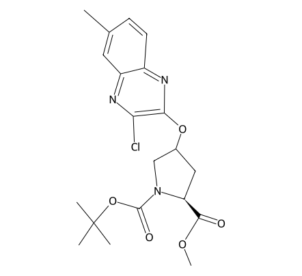 COC(=O)[C@@H]1CC(Oc2nc3ccc(C)cc3nc2Cl)CN1C(=O)OC(C)(C)C